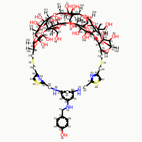 CC1(CO)O[C@@H]2O[C@H]3C(O)C(O)[C@H](O[C@@H]3CO)O[C@H]3C(O)C(O)[C@H](O[C@@H]3CO)O[C@H]3C(O)C(O)[C@@H]4O[C@@H]3CSCc3csc(n3)CNc3cc(NCc5ccc(O)cc5)cc(c3)NCc3nc(cs3)CSC[C@H]3O[C@H](O[C@H]1C(O)C2O)C(O)C(O)[C@@H]3O[C@H]1O[C@H](CO)[C@@H](O[C@H]2O[C@H](CO)[C@@H](O4)C(O)C2O)C(O)C1O